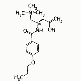 C=C(O)C[C@H](C[N+](C)(C)C)NC(=O)c1ccc(OCCC)cc1